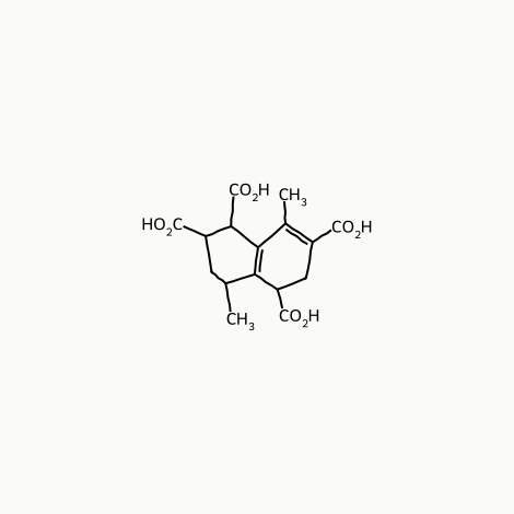 CC1=C(C(=O)O)CC(C(=O)O)C2=C1C(C(=O)O)C(C(=O)O)CC2C